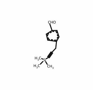 C[Si](C)(C)C#CCc1ccc(C=O)cc1